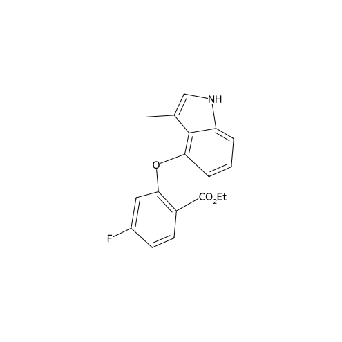 CCOC(=O)c1ccc(F)cc1Oc1cccc2[nH]cc(C)c12